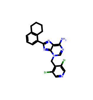 Nc1ncn(Cc2c(Br)cncc2Br)c2nc(-c3cccc4c3CCCC4)nc1-2